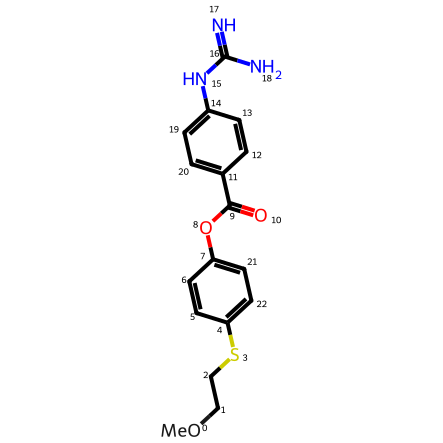 COCCSc1ccc(OC(=O)c2ccc(NC(=N)N)cc2)cc1